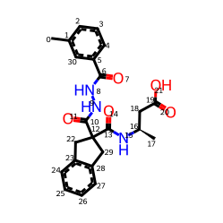 Cc1cccc(C(=O)NNC(=O)C2(C(=O)N[C@H](C)CC(=O)O)Cc3ccccc3C2)c1